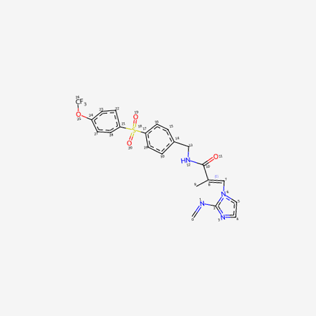 C=Nc1nccn1/C=C(\C)C(=O)NCc1ccc(S(=O)(=O)c2ccc(OC(F)(F)F)cc2)cc1